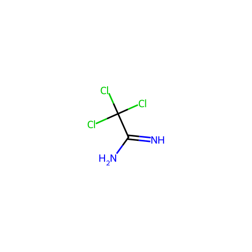 N=C(N)C(Cl)(Cl)Cl